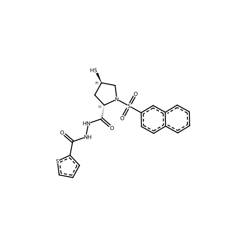 O=C(NNC(=O)[C@@H]1C[C@@H](S)CN1S(=O)(=O)c1ccc2ccccc2c1)c1cccs1